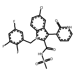 CS(=O)(=O)NC(=O)c1c(-c2ccc[nH]c2=O)c2cc(Cl)ccc2n1Cc1cc(F)cc(F)c1F